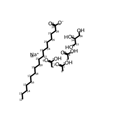 CC(=O)O.CC(=O)O.CC(=O)O.CCCCCCCCCCCCCCCCCC(=O)[O-].OCC(O)CO.[Na+]